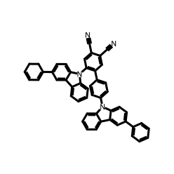 N#Cc1cc(-c2ccc(-n3c4ccccc4c4cc(-c5ccccc5)ccc43)cc2)c(-n2c3ccccc3c3cc(C4=CC=CCC4)ccc32)cc1C#N